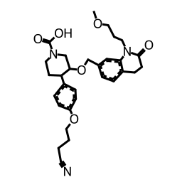 COCCCN1C(=O)CCc2ccc(COC3CN(C(=O)O)CCC3c3ccc(OCCCC#N)cc3)cc21